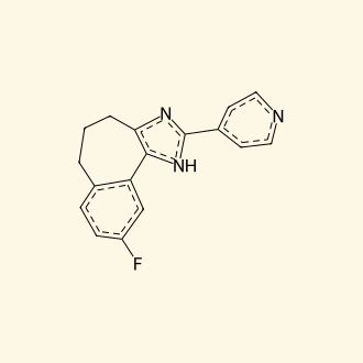 Fc1ccc2c(c1)-c1[nH]c(-c3ccncc3)nc1CCC2